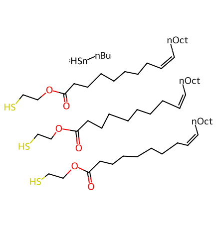 CCCCCCCC/C=C\CCCCCCCC(=O)OCCS.CCCCCCCC/C=C\CCCCCCCC(=O)OCCS.CCCCCCCC/C=C\CCCCCCCC(=O)OCCS.CCC[CH2][SnH]